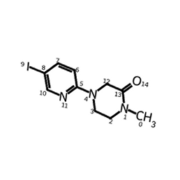 CN1CCN(c2ccc(I)cn2)CC1=O